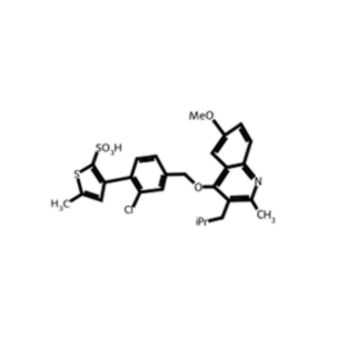 COc1ccc2nc(C)c(CC(C)C)c(OCc3ccc(-c4cc(C)sc4S(=O)(=O)O)c(Cl)c3)c2c1